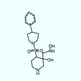 O=C(NO)C1(O)CNCCC1S(=O)(=O)N1CCC(c2ccccc2)CC1